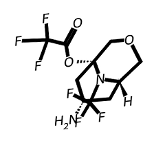 N[C@H]1C[C@H]2COC[C@](OC(=O)C(F)(F)F)(C1)N2C(F)(F)F